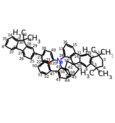 CC1(C)CCC(C)(C)c2cc3c(cc21)-c1cccc(N(c2ccc(-c4ccc5c(c4)C(C)(C)c4ccccc4-5)cc2)c2ccccc2-c2ccccc2)c1C31CCCCC1